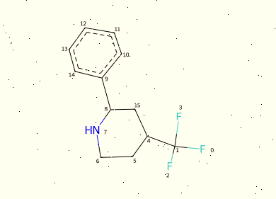 FC(F)(F)C1CCNC(c2ccccc2)C1